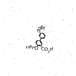 CCCOc1cccc(-c2ccc(OCCC)c(C(=O)O)c2)c1